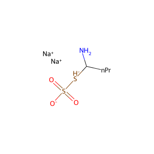 CCCC(N)[SH-]S(=O)(=O)[O-].[Na+].[Na+]